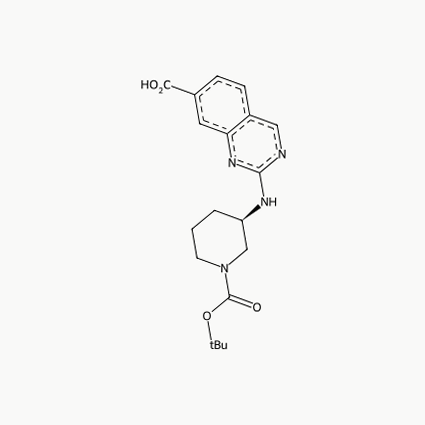 CC(C)(C)OC(=O)N1CCC[C@@H](Nc2ncc3ccc(C(=O)O)cc3n2)C1